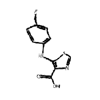 O=C(O)c1ncsc1Nc1ccc(F)cc1